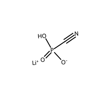 N#CP(=O)([O-])O.[Li+]